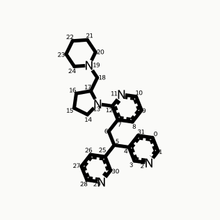 c1cncc(C(Cc2cccnc2N2CCCC2CN2CCCCC2)c2cccnc2)c1